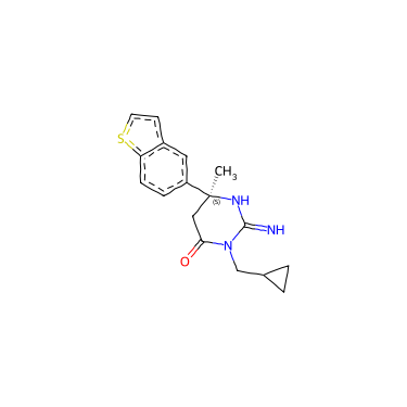 C[C@@]1(c2ccc3sccc3c2)CC(=O)N(CC2CC2)C(=N)N1